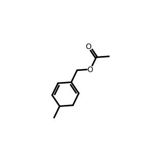 CC(=O)OCC1=CCC(C)C=C1